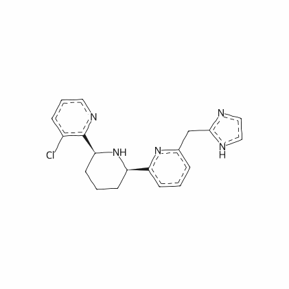 Clc1cccnc1[C@@H]1CCC[C@H](c2cccc(Cc3ncc[nH]3)n2)N1